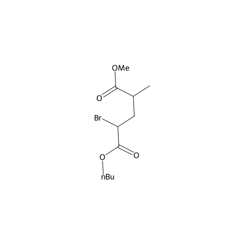 CCCCOC(=O)C(Br)CC(C)C(=O)OC